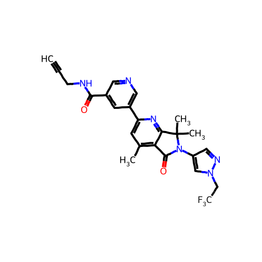 C#CCNC(=O)c1cncc(-c2cc(C)c3c(n2)C(C)(C)N(c2cnn(CC(F)(F)F)c2)C3=O)c1